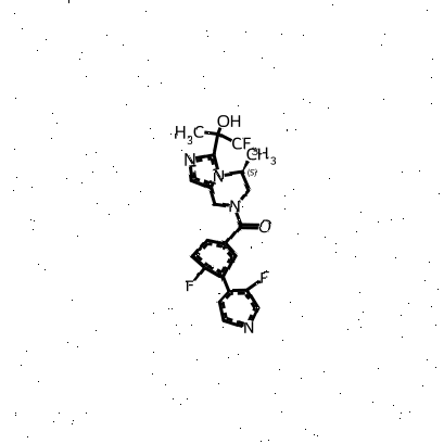 C[C@H]1CN(C(=O)c2ccc(F)c(-c3ccncc3F)c2)Cc2cnc(C(C)(O)C(F)(F)F)n21